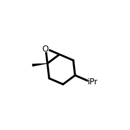 CC(C)C1CC[C@]2(C)OC2C1